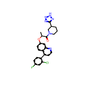 CC(Oc1ccc2c(-c3ccc(F)cc3Cl)ccnc2c1)C(=O)N1CCCC(c2nn[nH]n2)C1